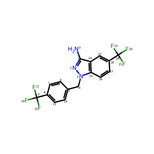 Nc1nn(Cc2ccc(C(F)(F)F)cc2)c2ccc(C(F)(F)F)cc12